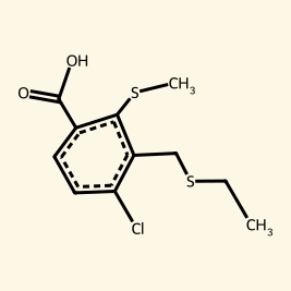 CCSCc1c(Cl)ccc(C(=O)O)c1SC